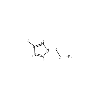 Cc1nnn(CCF)n1